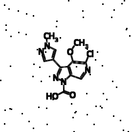 COc1c(Cl)ncc2c1c(-c1cnn(C)c1)nn2C(=O)O